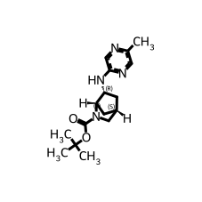 Cc1cnc(N[C@@H]2C[C@H]3C[C@@H]2N(C(=O)OC(C)(C)C)C3)cn1